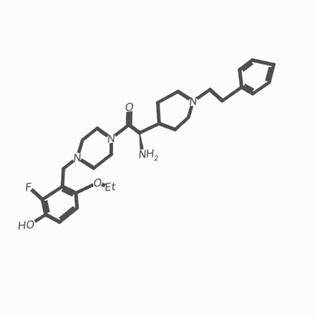 CCOc1ccc(O)c(F)c1CN1CCN(C(=O)[C@H](N)C2CCN(CCc3ccccc3)CC2)CC1